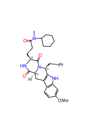 COc1ccc2c3c([nH]c2c1)[C@H](CC(C)C)N1C(=O)[C@H](CCC(=O)N(C)C2CCCCC2)NC(=O)[C@@H]1C3